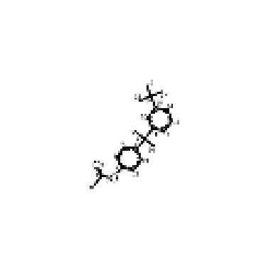 CC(=O)Oc1ccc(C(C)(C)c2cccc(C(C)(C)C)c2)cc1